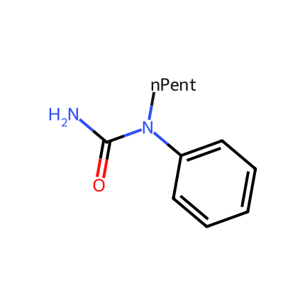 CCCCCN(C(N)=O)c1ccccc1